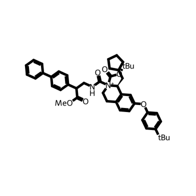 COC(=O)C(CNC(=O)[N+]1(C(=O)OC(C)(C)C)CCc2ccc(Oc3ccc(C(C)(C)C)cc3)cc2[C@@H]1CC1CCCC1)c1ccc(-c2ccccc2)cc1